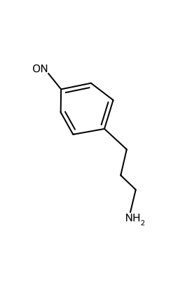 NCCCc1ccc(N=O)cc1